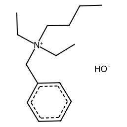 CCCC[N+](CC)(CC)Cc1ccccc1.[OH-]